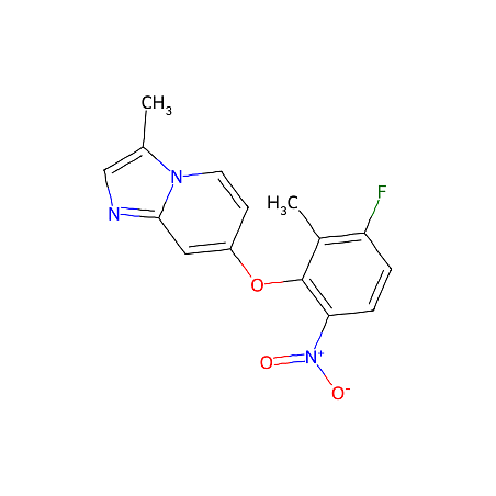 Cc1c(F)ccc([N+](=O)[O-])c1Oc1ccn2c(C)cnc2c1